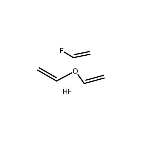 C=CF.C=COC=C.F